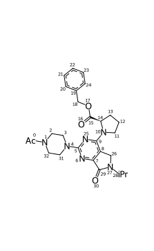 CC(=O)N1CCN(c2nc3c(c(N4CCC[C@@H]4C(=O)OCc4ccccc4)n2)CN(C(C)C)C3=O)CC1